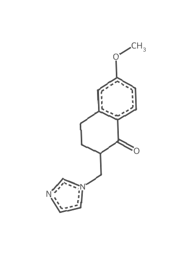 COc1ccc2c(c1)CCC(Cn1ccnc1)C2=O